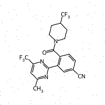 Cc1cc(C(F)(F)F)nc(-c2cc(C#N)ccc2C(=O)N2CCC(C(F)(F)F)CC2)n1